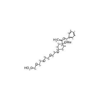 C=C(OCc1ccccc1)C1(OC)CCC(OCCOCCOCCOCC(=O)O)CC1